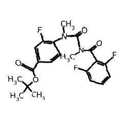 CN(C(=O)c1c(F)cccc1F)C(=O)N(C)c1ccc(C(=O)OC(C)(C)C)cc1F